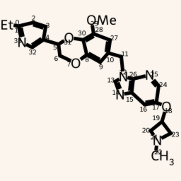 CCc1ccc(C2COc3cc(Cn4cnc5cc(OC6CN(C)C6)cnc54)cc(OC)c3O2)cn1